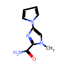 Cn1cc(-n2cccc2)nc1C(N)=O